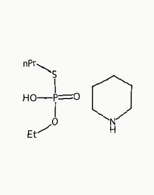 C1CCNCC1.CCCSP(=O)(O)OCC